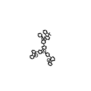 CC1(C)c2ccccc2-c2c1ccc1c3cc(-c4ccc5c(c4)c4cc(-c6cccc7c6oc6ccccc67)ccc4n5-c4ccc(-c5cccc6c5oc5ccccc56)cc4)ccc3n(-c3ccccc3)c21